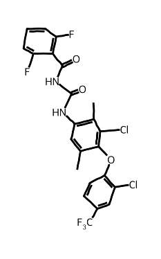 Cc1cc(NC(=O)NC(=O)c2c(F)cccc2F)c(C)c(Cl)c1Oc1ccc(C(F)(F)F)cc1Cl